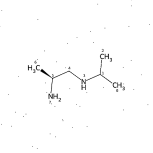 CC(C)NC[C@H](C)N